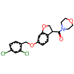 O=C(C1COc2cc(OCc3ccc(Cl)cc3Cl)ccc21)N1CCOCC1